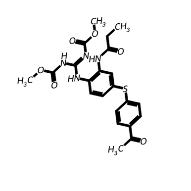 CCC(=O)Nc1cc(Sc2ccc(C(C)=O)cc2)ccc1NC(=NC(=O)OC)NC(=O)OC